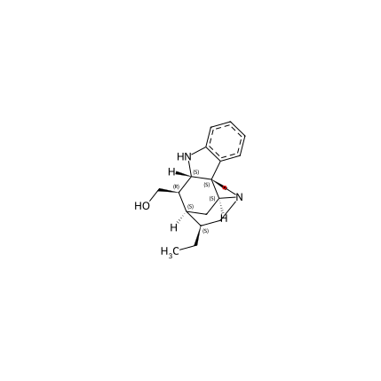 CC[C@@H]1CN2CC[C@]34c5ccccc5N[C@H]3[C@H](CO)[C@H]1C[C@H]24